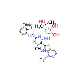 CO[C@@H](CNc1nc(C)c(-c2nc3c(C)nccc3s2)c(N[C@@H]2C[C@H](C(C)(C)O)[C@@H](O)[C@H]2O)n1)c1ccccc1